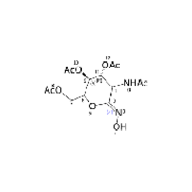 CC(=O)NC1/C(=N/O)OC(COC(C)=O)[C@@H](OC(C)=O)[C@@H]1OC(C)=O